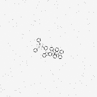 c1ccc(-c2nc(-c3ccccc3)nc(-c3cccc(-n4c5ccccc5c5ccc([Si]6(c7ccccc7)c7ccccc7[Si](c7ccccc7)(c7ccccc7)c7ccccc76)cc54)c3)n2)cc1